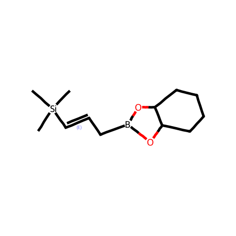 C[Si](C)(C)/C=C/CB1OC2CCCCC2O1